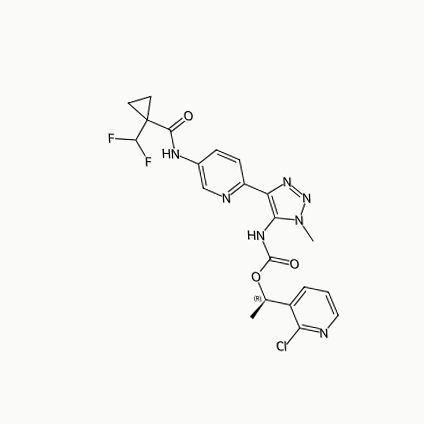 C[C@@H](OC(=O)Nc1c(-c2ccc(NC(=O)C3(C(F)F)CC3)cn2)nnn1C)c1cccnc1Cl